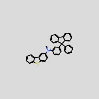 C=[N+](c1cccc(C2(c3ccccc3)c3ccccc3-c3ccccc32)c1)c1ccc2sc3ccccc3c2c1